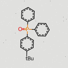 CC(C)(C)c1ccc(P(=O)(c2ccccc2)c2ccccc2)cc1